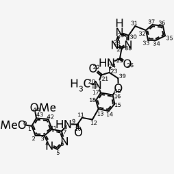 COc1cc2ncnc(NC(=O)CCc3ccc4c(c3)N(C)C(=O)[C@@H](NC(=O)c3n[nH]c(Cc5ccccc5)n3)CO4)c2cc1OC